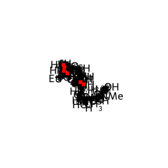 CCSSCC(C(=O)C(=O)[C@H](CCC(=O)O)NN[C@@H](Cc1ccc(O)cc1)C(=O)N[C@@H](CS)C(=O)C(=O)[C@H](CS)NN[C@@H](CC(N)=O)C(=O)N1CCC[C@H]1C(=O)CC(=O)[C@H](C)NCC(=O)[C@H](CS)NN[C@H](C(=O)NCC(=O)N[C@@H](CS)C(=O)C(=O)[C@H](Cc1ccc(O)cc1)NC)[C@@H](C)O)N1CNC(CSS)C1=O